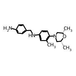 Cc1cc(NCc2ccc(N)cc2)ccc1N1C[C@@H](C)O[C@@H](C)C1